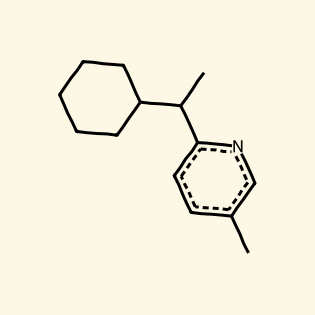 Cc1ccc(C(C)C2CCCCC2)nc1